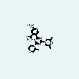 CC1CN(c2nc(-c3cnc(N)cc3C(F)P)nc(N3CCOCC3C)n2)CC(C)O1